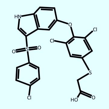 O=C(O)CSc1cc(Cl)c(Oc2ccc3[nH]cc(S(=O)(=O)c4ccc(Cl)cc4)c3c2)c(Cl)c1